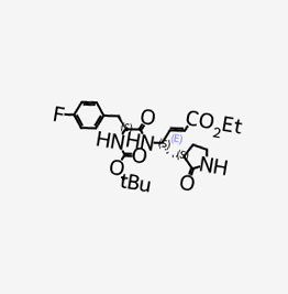 CCOC(=O)/C=C/[C@H](C[C@@H]1CCNC1=O)NC(=O)[C@H](Cc1ccc(F)cc1)NC(=O)OC(C)(C)C